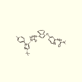 Cc1ccc(-n2nc(C(C)(C)C)cc2NC(=O)Nc2ccc(Oc3ccnc(NC(=O)N(C)C)c3)c3ccccc23)cc1